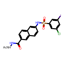 CC(=O)NNC(=O)c1ccc2cc(NS(=O)(=O)c3cc(Cl)cc(I)c3)ccc2c1